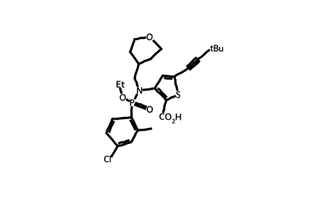 CCOP(=O)(c1ccc(Cl)cc1C)N(CC1CCOCC1)c1cc(C#CC(C)(C)C)sc1C(=O)O